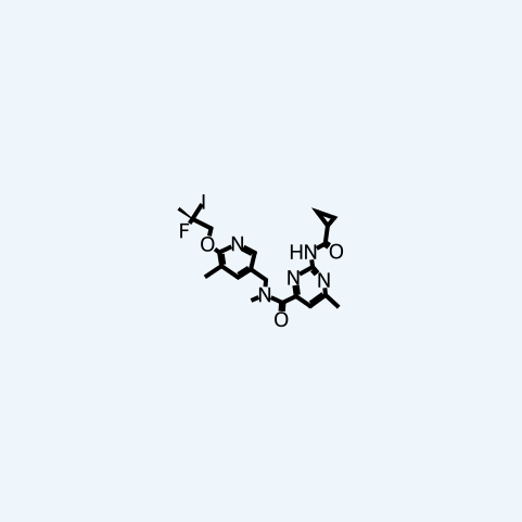 Cc1cc(C(=O)N(C)Cc2cnc(OC[C@](C)(F)I)c(C)c2)nc(NC(=O)C2CC2)n1